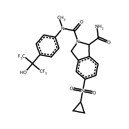 CN(C(=O)N1Cc2cc(S(=O)(=O)C3CC3)ccc2C1C(N)=O)c1ccc(C(O)(C(F)(F)F)C(F)(F)F)cc1